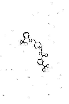 COC(=O)c1ccccc1OCC1CCN(COC(=O)c2cccc(C(=O)O)c2)CC1